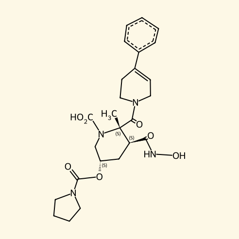 C[C@@]1(C(=O)N2CC=C(c3ccccc3)CC2)[C@@H](C(=O)NO)C[C@H](OC(=O)N2CCCC2)CN1C(=O)O